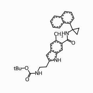 Cc1cc2cc(CCNC(=O)OC(C)(C)C)[nH]c2cc1C(=O)NC1(c2cccc3ccccc23)CC1